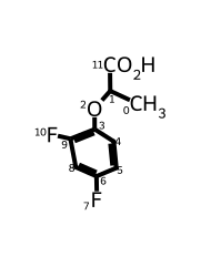 CC(Oc1ccc(F)cc1F)C(=O)O